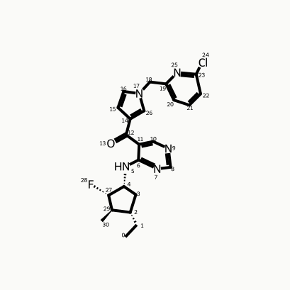 CC[C@H]1C[C@@H](Nc2ncncc2C(=O)c2ccn(Cc3cccc(Cl)n3)c2)[C@@H](F)[C@@H]1C